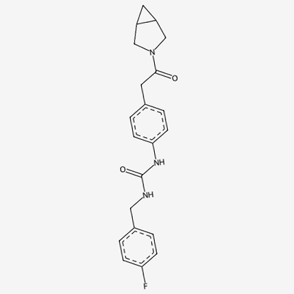 O=C(NCc1ccc(F)cc1)Nc1ccc(CC(=O)N2CC3CC3C2)cc1